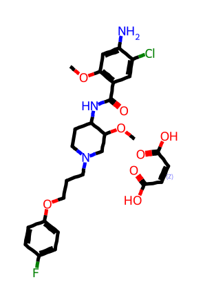 COc1cc(N)c(Cl)cc1C(=O)NC1CCN(CCCOc2ccc(F)cc2)CC1OC.O=C(O)/C=C\C(=O)O